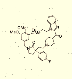 CCOCCn1c(C(=O)C2CCN(CCC3(c4ccc(F)cc4)CCN(Cc4cc(OC)c(OC)c(OC)c4)C3=O)CC2)nc2ccccc21